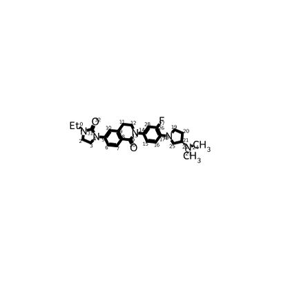 CCN1CCN(c2ccc3c(c2)CCN(c2ccc(N4CC[C@@H](N(C)C)C4)c(F)c2)C3=O)C1=O